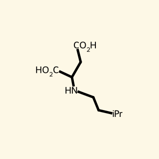 CC(C)CCNC(CC(=O)O)C(=O)O